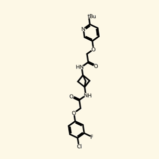 CC(C)(C)c1ccc(OCC(=O)NC23CC(NC(=O)COc4ccc(Cl)c(F)c4)(C2)C3)cn1